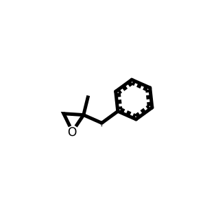 CC1([CH]c2ccccc2)CO1